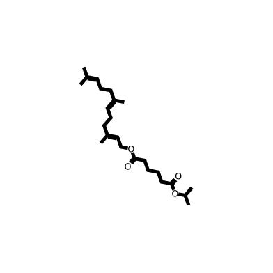 CC(C)=CCCC(C)=CCCC(C)=CCOC(=O)CCCCC(=O)OC(C)C